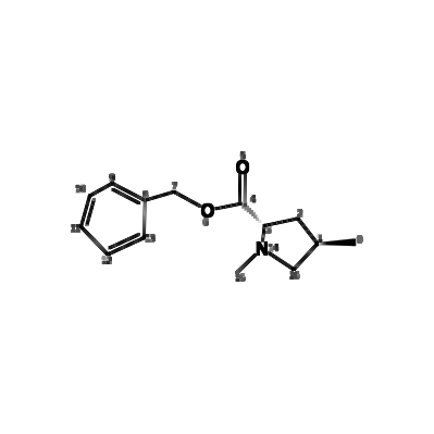 C[C@@H]1C[C@@H](C(=O)OCc2ccccc2)N(C)C1